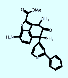 COC(=O)c1sc2c(N)ccc3c2c1C(N)C(=O)C3(N)c1ccnc(-c2ccccc2)c1